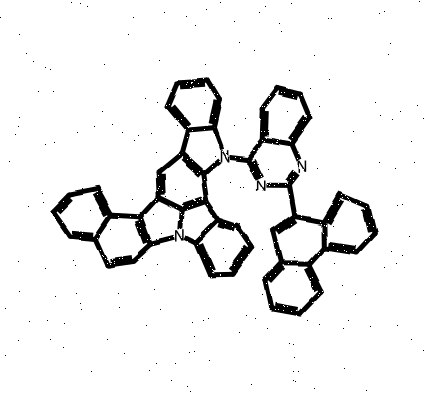 c1ccc2c(c1)cc(-c1nc(-n3c4ccccc4c4cc5c6c7ccccc7ccc6n6c7ccccc7c(c43)c56)c3ccccc3n1)c1ccccc12